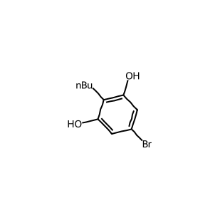 CCCCc1c(O)cc(Br)cc1O